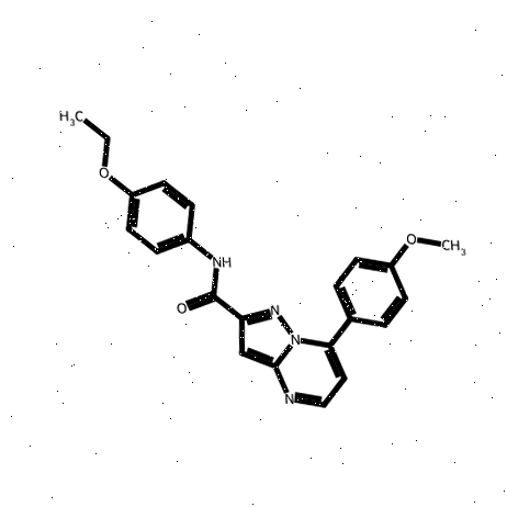 CCOc1ccc(NC(=O)c2cc3nccc(-c4ccc(OC)cc4)n3n2)cc1